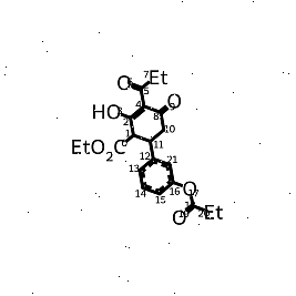 CCOC(=O)C1C(O)=C(C(=O)CC)C(=O)CC1c1cccc(OC(=O)CC)c1